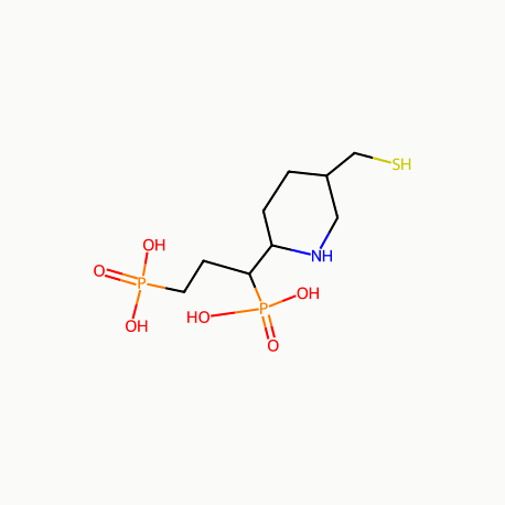 O=P(O)(O)CCC(C1CCC(CS)CN1)P(=O)(O)O